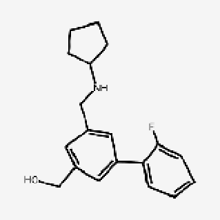 OCc1cc(CNC2CCCC2)cc(-c2ccccc2F)c1